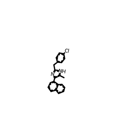 Cc1[nH]c(Cc2ccc(Cl)cc2)nc1-c1cccc2ccccc12